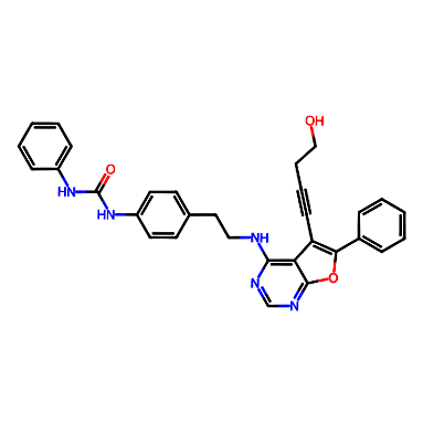 O=C(Nc1ccccc1)Nc1ccc(CCNc2ncnc3oc(-c4ccccc4)c(C#CCCO)c23)cc1